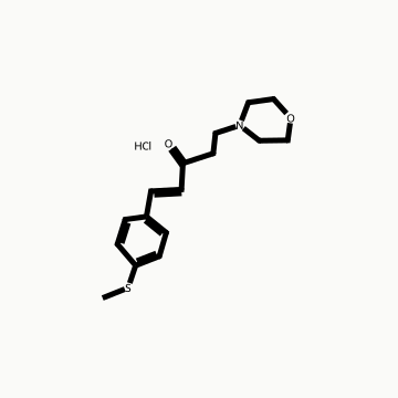 CSc1ccc(C=CC(=O)CCN2CCOCC2)cc1.Cl